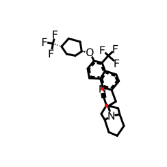 N#CC1CC2CCCC(C1)N2CCc1ccc2c(C(F)(F)F)c(O[C@H]3CC[C@@H](C(F)(F)F)CC3)ccc2c1